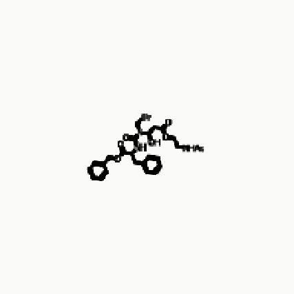 CC(=O)NCCOC(=O)CC(O)N(CC(C)C)C(=O)NC(Cc1ccccc1)C(=O)OCc1ccccc1